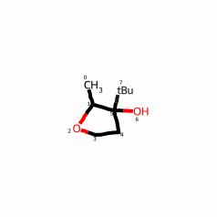 CC1OCCC1(O)C(C)(C)C